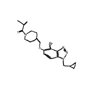 CC(C)C(=O)N1CCC(COc2ccc3c(nnn3CC3CC3)c2Br)CC1